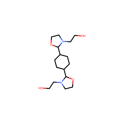 OCCN1CCOC1C1CCC(C2OCCN2CCO)CC1